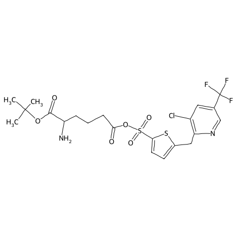 CC(C)(C)OC(=O)C(N)CCCC(=O)OS(=O)(=O)c1ccc(Cc2ncc(C(F)(F)F)cc2Cl)s1